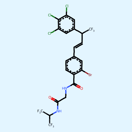 O=C(CNC(=O)c1ccc(/C=C/C(c2cc(Cl)c(Cl)c(Cl)c2)C(F)(F)F)cc1Br)NC(C(F)(F)F)C(F)(F)F